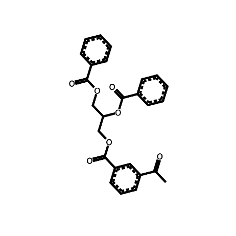 CC(=O)c1cccc(C(=O)OCC(COC(=O)c2ccccc2)OC(=O)c2ccccc2)c1